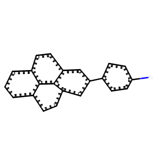 Nc1ccc(-c2cc3ccc4cccc5ccc(c2)c3c45)cc1